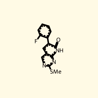 CSc1ncc2cc(-c3ccccc3F)c(=O)[nH]c2n1